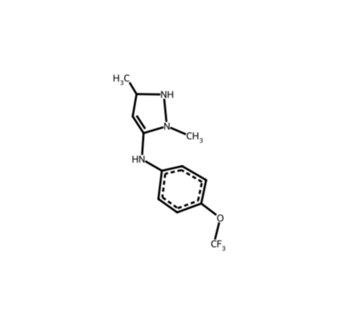 CC1C=C(Nc2ccc(OC(F)(F)F)cc2)N(C)N1